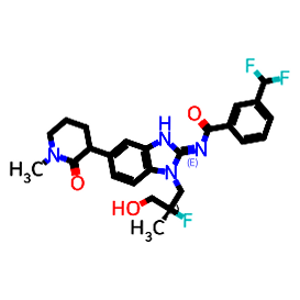 CN1CCCC(c2ccc3c(c2)[nH]/c(=N\C(=O)c2cccc(C(F)F)c2)n3C[C@](C)(F)CO)C1=O